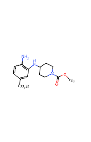 CCOC(=O)c1ccc(N)c(NC2CCN(C(=O)OC(C)(C)C)CC2)c1